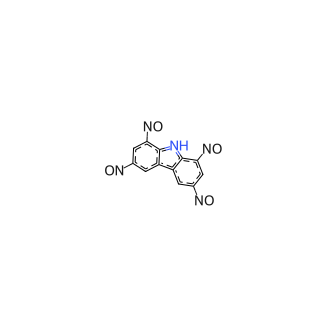 O=Nc1cc(N=O)c2[nH]c3c(N=O)cc(N=O)cc3c2c1